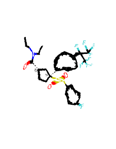 CCN(CC)C(=O)[C@H]1CC[C@](c2ccc(C(F)(C(F)(F)F)C(F)(F)F)cc2)(S(=O)(=O)c2ccc(F)cc2)C1